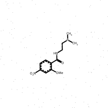 COc1cc([N+](=O)[O-])ccc1C(=O)NCCN(C)C